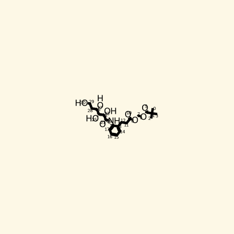 CC(C)(C)C(=O)OCOC(=O)CCc1ccccc1NC(=O)C(O)C(O)C(O)CCO